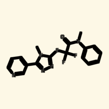 CN(C(=O)C(F)(F)Sc1nnc(-c2cccnc2)n1C)c1ccccc1